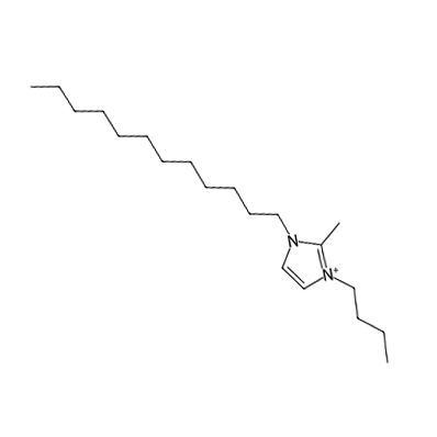 CCCCCCCCCCCCn1cc[n+](CCCC)c1C